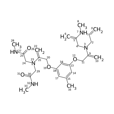 C=CCN(CC(=C)NC)C(=C)COc1cc(C)cc(OCC(=C)N(CC(=O)NC)CC(=O)NC)c1